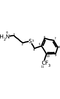 NCCSCc1ccccc1C(F)(F)F